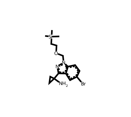 C[Si](C)(C)CCOCn1nc(C2(N)CC2)c2cc(Br)ccc21